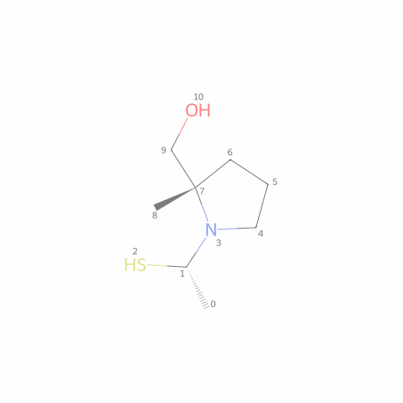 C[C@H](S)N1CCC[C@@]1(C)CO